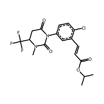 CC(C)OC(=O)/C=C/c1cc(N2C(=O)CC(C(F)(F)F)N(C)C2=O)ccc1Cl